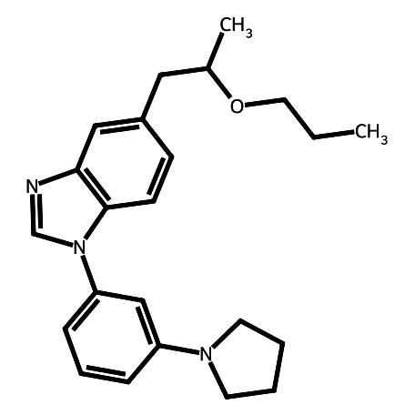 CCCOC(C)Cc1ccc2c(c1)ncn2-c1cccc(N2CCCC2)c1